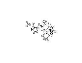 C[C@H]1C[C@@]2(C=CS(=O)(=O)N2c2cccc(F)c2)CCN1Cc1scnc1CC1CC1